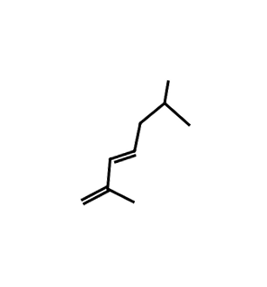 C=C(C)C=CCC(C)C